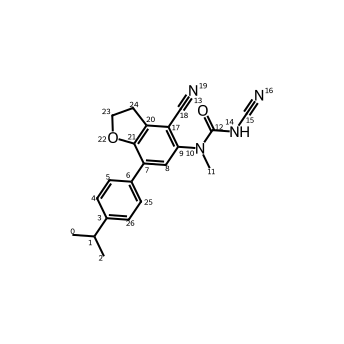 CC(C)c1ccc(-c2cc(N(C)C(=O)NC#N)c(C#N)c3c2OCC3)cc1